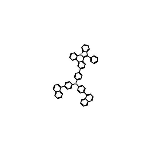 c1ccc(-c2c3ccccc3n3c4ccccc4c4cc(-c5ccc(N(c6ccc(-c7cccc8ccccc78)cc6)c6ccc(-c7cccc8ccccc78)cc6)cc5)ccc4c23)cc1